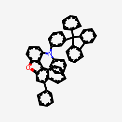 c1ccc(-c2cc3oc4cccc(N(c5ccccc5)c5cccc(C6(c7ccccc7)c7ccccc7-c7ccccc76)c5)c4c3c3ccccc23)cc1